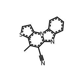 Cc1c(C#N)c2nc3ccccc3n2c2ccsc12